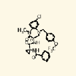 CN1C(=O)[C@H](NC(=O)C2(NC(=O)c3ccccc3)CC2)CN(Cc2ccc(OC(F)(F)F)cc2)c2cc(Cl)ccc21